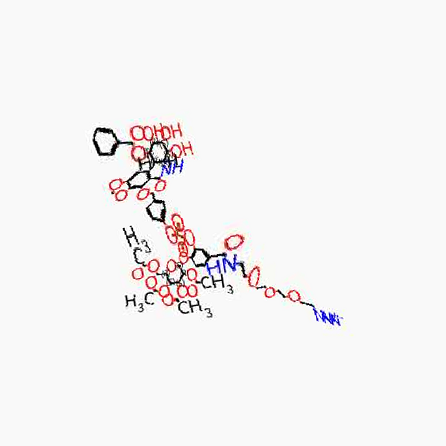 CC(=O)OC[C@H]1O[C@@H](Oc2ccc(C(=O)NCCOCCOCCOCCN=[N+]=[N-])cc2OS(=O)(=O)Oc2ccc(COc3c4c(cc5c3C(=O)N[C@H]3[C@H](O)[C@H](O)[C@@H](O)[C@H](OC(=O)c6ccccc6)[C@H]53)OCO4)cc2)[C@H](OC(C)=O)[C@@H](OC(C)=O)[C@H]1OC(C)=O